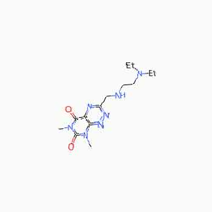 CCN(CC)CCNCc1nnc2c(n1)c(=O)n(C)c(=O)n2C